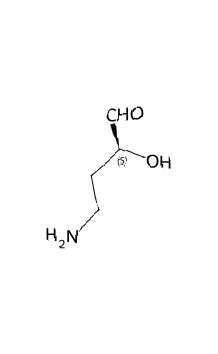 NCC[C@H](O)C=O